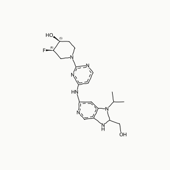 CC(C)N1c2cc(Nc3ccnc(N4CC[C@H](O)[C@H](F)C4)n3)ncc2NC1CO